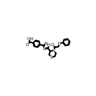 O=C(O)c1ccc(-c2noc(C3CSCCN3C(=O)COc3ccccc3)n2)cc1